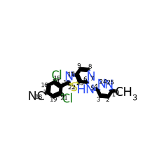 Cc1ccc(Nc2nccc3nc(-c4c(Cl)cc(C#N)cc4Cl)sc23)nn1